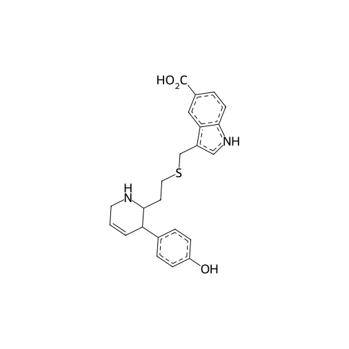 O=C(O)c1ccc2[nH]cc(CSCCC3NCC=CC3c3ccc(O)cc3)c2c1